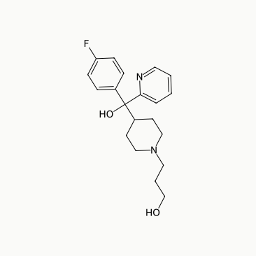 OCCCN1CCC(C(O)(c2ccc(F)cc2)c2ccccn2)CC1